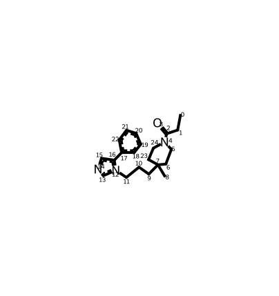 CCC(=O)N1CCC(C)(CCCn2cncc2-c2ccccc2)CC1